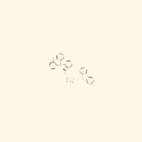 CN(CCC(=O)OC(c1ccccc1)(c1ccccc1)c1ccccc1Cl)C(=O)OCC1c2ccccc2-c2ccccc21